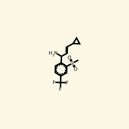 CS(=O)(=O)c1cc(C(F)(F)F)ccc1C(N)C=CC1CC1